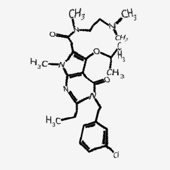 CCc1nc2c(c(OC(C)C)c(C(=O)N(C)CCN(C)C)n2C)c(=O)n1Cc1cccc(Cl)c1